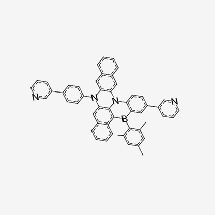 Cc1cc(C)c(B2c3cc(-c4cccnc4)ccc3N3c4cc5ccccc5cc4N(c4ccc(-c5cccnc5)cc4)c4cc5ccccc5c2c43)c(C)c1